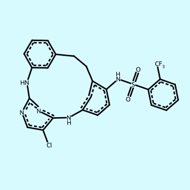 O=S(=O)(Nc1ccc2cc1CCc1cccc(c1)Nc1ncc(Cl)c(n1)N2)c1ccccc1C(F)(F)F